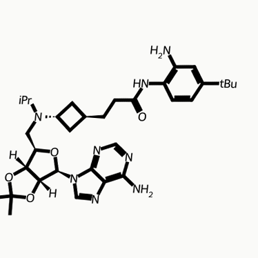 CC(C)N(C[C@H]1O[C@@H](n2cnc3c(N)ncnc32)[C@@H]2OC(C)(C)O[C@@H]21)[C@H]1C[C@H](CCC(=O)Nc2ccc(C(C)(C)C)cc2N)C1